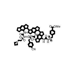 COC(=O)c1ccc(CS(=O)(=O)NC(=O)Nc2c3c(cc4c2CCC4C2CCc4cc5c(c(NC(=O)NS(=O)(=O)Cc6ccc(C#N)cc6)c42)CCC5C2CCc4cc5c(c(NC(=O)NS(=O)(=O)CCN6CCC6)c42)CCC5)CCC3)cc1